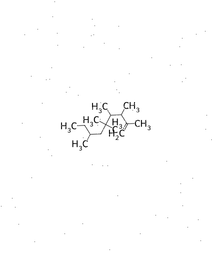 C=C(C)C(C)C(C)C(C)(C)CC(C)CC